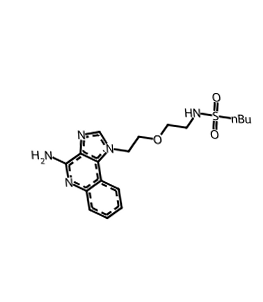 CCCCS(=O)(=O)NCCOCCn1cnc2c(N)nc3ccccc3c21